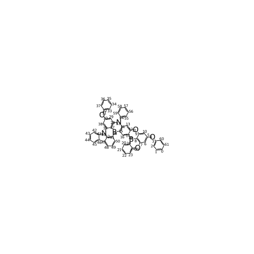 c1ccc(Oc2cc3c4c(c2)Oc2cc5c(cc2B4c2ccccc2O3)B2c3c(cc(Oc4ccccc4)cc3-n3c4ccccc4c4cccc2c43)N5c2ccccc2)cc1